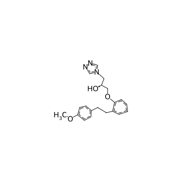 COc1ccc(CCc2ccccc2OC[C@@H](O)Cn2cnnc2)cc1